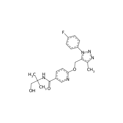 Cc1nnn(-c2ccc(F)cc2)c1COc1ccc(C(=O)NC(C)(C)CO)cn1